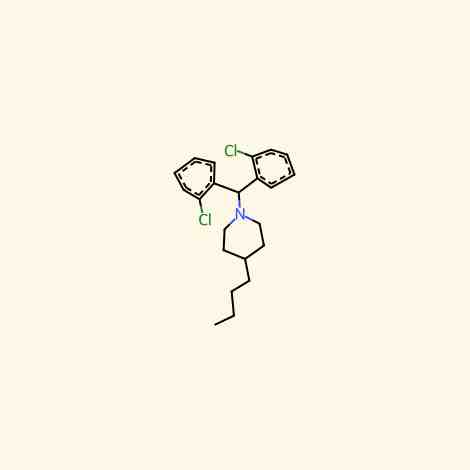 CCCCC1CCN(C(c2ccccc2Cl)c2ccccc2Cl)CC1